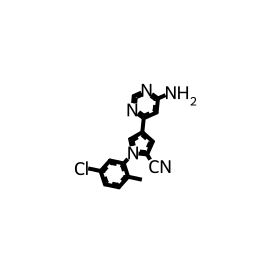 Cc1ccc(Cl)cc1-n1cc(-c2cc(N)ncn2)cc1C#N